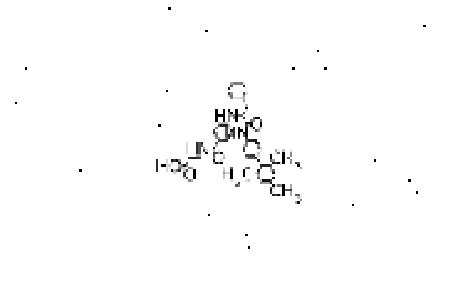 Cc1cc(C)c(-c2ccc(NC(=O)[C@H](Cc3ccccc3)Nc3ccc(C(=O)NCCC(=O)O)cc3)cc2)c(C)c1